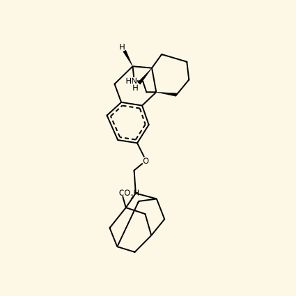 O=C(O)C12CC3CC(CC(C3)C1COc1ccc3c(c1)[C@@]14CCCC[C@H]1[C@@H](C3)NCC4)C2